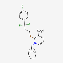 O=C(O)C1=CC=CN(CC2C3CCC2CC3)C1SCCC(F)(F)c1ccc(F)cc1